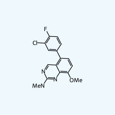 CNc1ncc2c(-c3ccc(F)c(Cl)c3)ccc(OC)c2n1